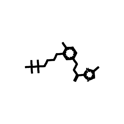 C=C(CCc1ccc(C)c(CCCCC(C)(C)C(C)(C)C)c1)c1nc(C)cs1